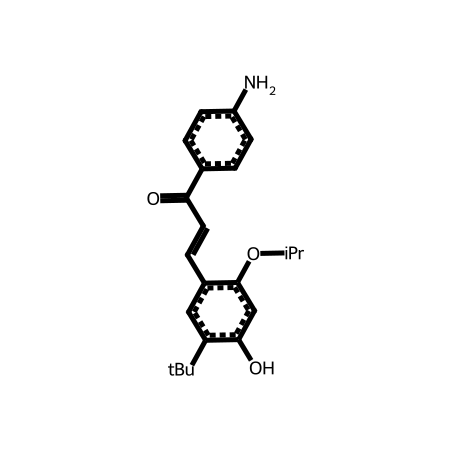 CC(C)Oc1cc(O)c(C(C)(C)C)cc1/C=C/C(=O)c1ccc(N)cc1